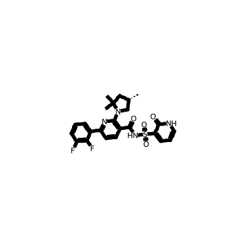 C[C@@H]1CN(c2nc(-c3cccc(F)c3F)ccc2C(=O)NS(=O)(=O)c2ccc[nH]c2=O)C(C)(C)C1